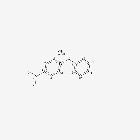 CC(C)c1cc[n+](Cc2ccccc2)cc1.[Cl-]